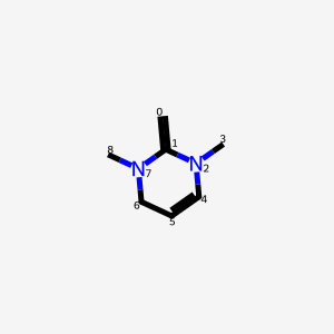 C=C1N(C)C=CCN1C